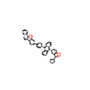 c1ccc2c(c1)ccc1c3ccc(-c4ccc(-c5c6ccccc6c(-c6ccc7occ(C8CCCC8)c7c6)c6ccccc56)cc4)cc3oc21